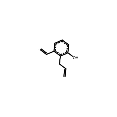 [CH]=Cc1cccc(O)c1CC=C